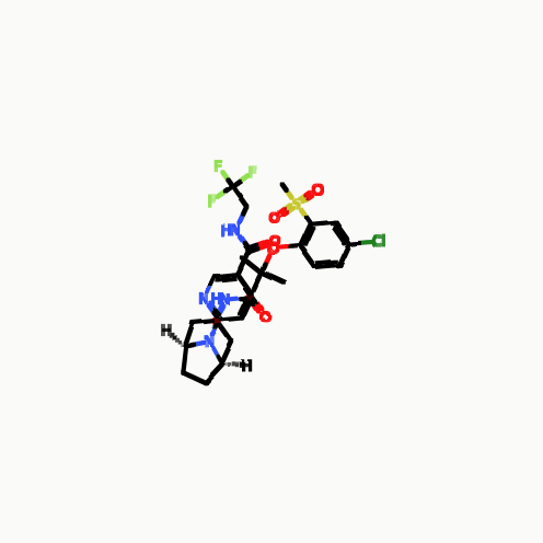 CC(C)(Oc1ccc(Cl)cc1S(C)(=O)=O)C(=O)N[C@H]1C[C@H]2CC[C@@H](C1)N2c1ccc(C(=O)NCC(F)(F)F)cn1